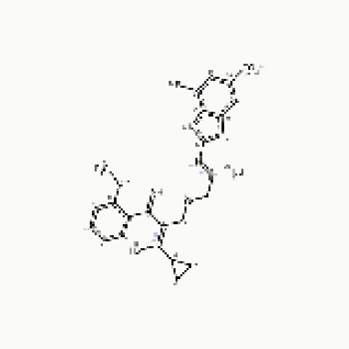 CC[C@@H](C)/C(COC/C(C(=N)c1ccccc1OC(F)(F)F)=C(/S)C1CC1)=N\c1nc2c(F)cc(C(=O)O)cc2s1